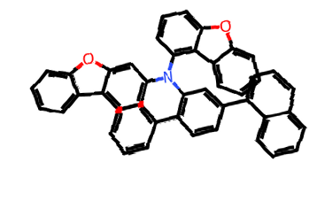 c1ccc(-c2ccc(-c3cccc4ccccc34)cc2N(c2ccc3c(c2)oc2ccccc23)c2cccc3oc4ccccc4c23)cc1